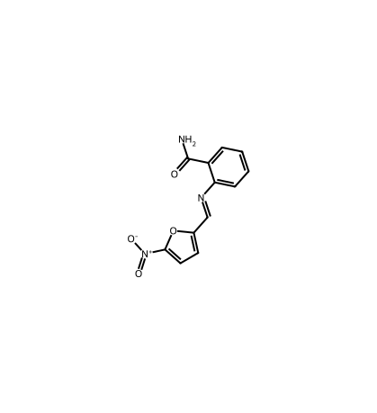 NC(=O)c1ccccc1N=Cc1ccc([N+](=O)[O-])o1